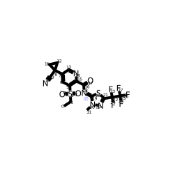 CCS(=O)(=O)c1cc(C2(C#N)CC2)cnc1C(=O)/N=c1\sc(C(F)(F)C(F)(F)F)nn1C